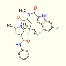 CN(C(=O)c1cc2c(F)cc(F)cc2[nH]1)C(CC(C)(C)F)C(=O)N1CC(C(=O)Nc2ccccc2)CC1C#N